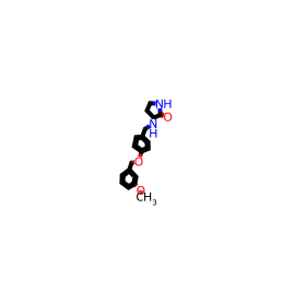 COc1cccc(COc2ccc(CNC3CCNC3=O)cc2)c1